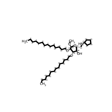 CCCCCCCCCCCCCCO[C@H]1[C@@H](OC)O[C@H](CNC2CCCC2)[C@@H](O)[C@@H]1OCCCCCCCCCCCCCC